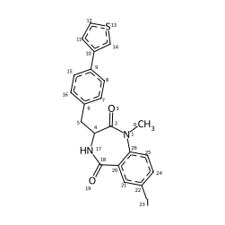 CN1C(=O)C(Cc2ccc(-c3ccsc3)cc2)NC(=O)c2cc(I)ccc21